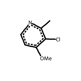 COc1ccnc(C)c1Cl